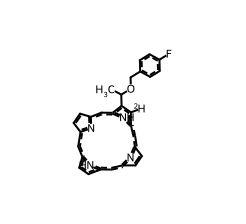 [2H]c1c(C(C)OCc2ccc(F)cc2)c2cc3nc(cc4ccc(cc5nc(cc1[nH]2)C=C5)[nH]4)C=C3